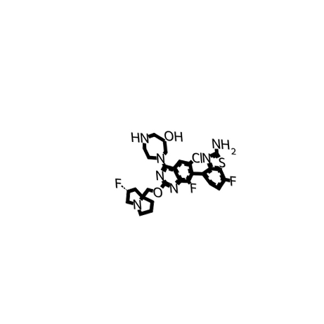 Nc1nc2c(-c3c(Cl)cc4c(N5CCNCC(O)C5)nc(OCC56CCCN5C[C@H](F)C6)nc4c3F)ccc(F)c2s1